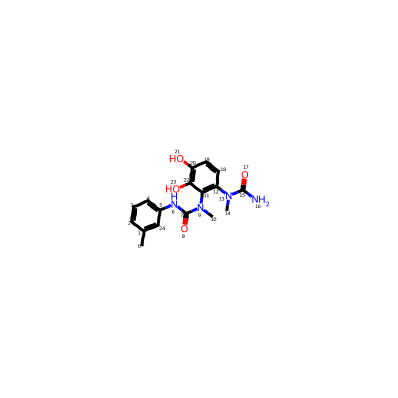 Cc1cccc(NC(=O)N(C)c2c(N(C)C(N)=O)ccc(O)c2O)c1